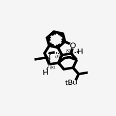 CC(C1CC23CCC1[C@@H]1Oc4cccc5c4[C@@]12CCN(C)[C@@H]3C5)C(C)(C)C